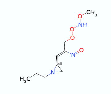 CCCN1C[C@@H]1C=C(COONOC)N=O